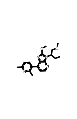 CCC(COC)n1c(OC)nc2c(-c3ccc(C)nc3C)ccnc21